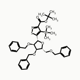 CC(C)(C)OC(=O)c1nsc([C@@H]2O[C@H](COCc3ccccc3)[C@@H](OCc3ccccc3)[C@H]2OCc2ccccc2)[c]1[Sn]([CH3])([CH3])[CH3]